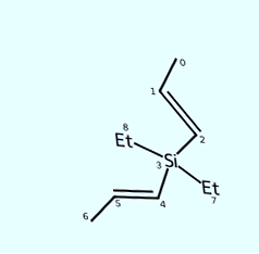 CC=C[Si](C=CC)(CC)CC